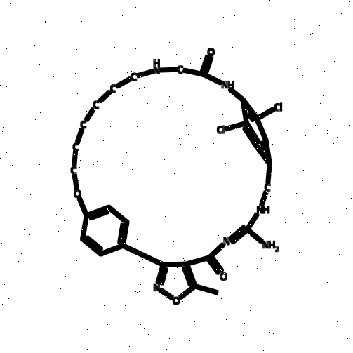 Cc1onc2c1C(=O)/N=C(\N)NCc1cc(Cl)c(c(Cl)c1)NC(=O)CNCCCCCCOc1ccc-2cc1